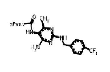 CCCCCC(=O)Nc1c(C)nc(NCc2ccc(C(F)(F)F)cc2)nc1N